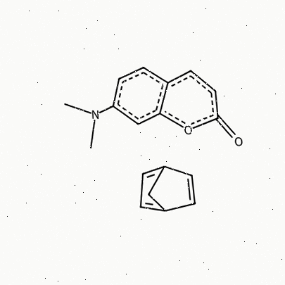 C1=CC2=CC=C1C2.CN(C)c1ccc2ccc(=O)oc2c1